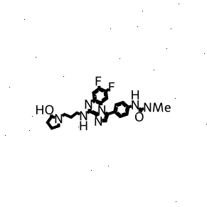 CNC(=O)Nc1ccc(-c2cnc3c(NCCCN4CCCC4O)nc4cc(F)c(F)cc4n23)cc1